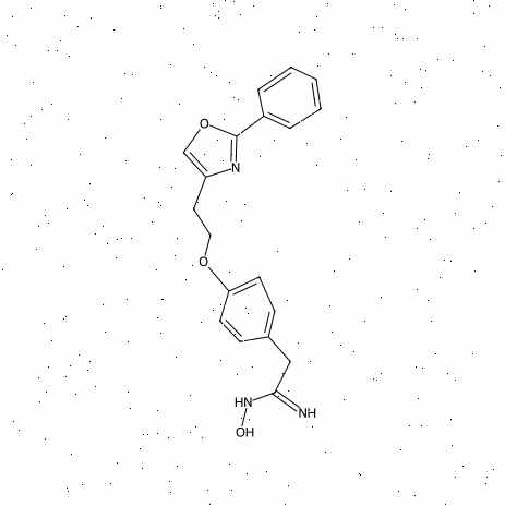 N=C(Cc1ccc(OCCc2coc(-c3ccccc3)n2)cc1)NO